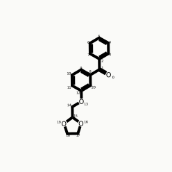 O=C(c1ccccc1)c1cccc(OCC2OCCO2)c1